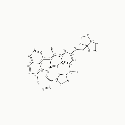 C=CC(=O)N1CCC(N(C)c2nc(OCC34CCCN3CCC4)nc3c(F)c(-c4cccc5ccc(F)c(C)c45)ncc23)C1